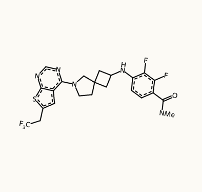 CNC(=O)c1ccc(NC2CC3(CCN(c4ncnc5sc(CC(F)(F)F)cc45)C3)C2)c(F)c1F